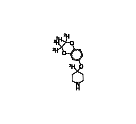 [2H]C1(Oc2ccc3c(c2)OC([2H])([2H])C([2H])([2H])O3)CCNCC1